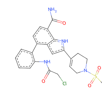 CS(=O)(=O)N1CC=C(c2cc3c(-c4ccccc4NC(=O)CCl)ccc(C(N)=O)c3[nH]2)CC1